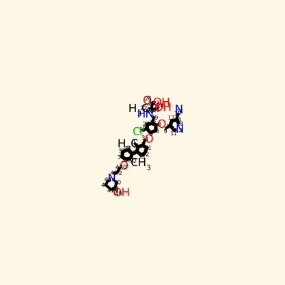 Cc1c(COc2cc(OCc3cncc(C#N)c3)c(CN[C@@](C)(CO)C(=O)O)cc2Cl)cccc1-c1cccc(OCCCN2CCC[C@H](O)C2)c1C